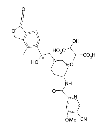 COc1cc(C(=O)NC2CCN(C[C@H](O)c3ccc4c(c3C)COC4=C=O)CC2)ncc1C#N.O=C(O)C(O)C(O)C(=O)O